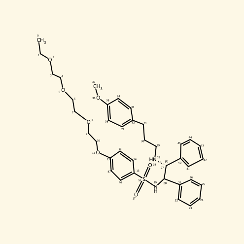 CCOCCOCCOCCOc1ccc(S(=O)(=O)NC(c2ccccc2)[C@H](NCCCc2ccc(OC)cc2)c2ccccc2)cc1